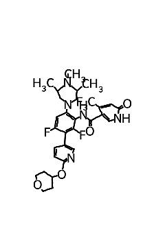 CC1CN(c2cc(F)c(-c3ccc(OC4CCOCC4)nc3)c(F)c2NC(=O)c2c[nH]c(=O)cc2C(F)(F)F)CC(C)N1C